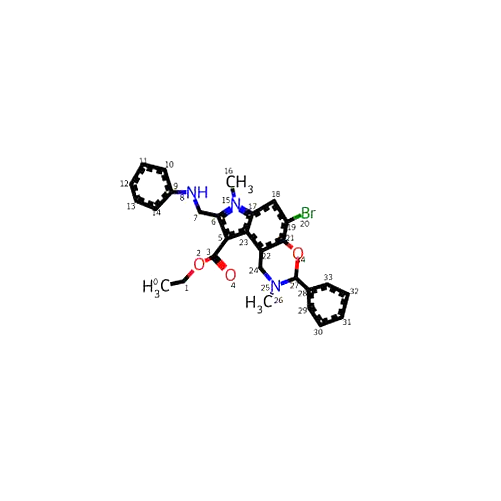 CCOC(=O)c1c(CNc2ccccc2)n(C)c2cc(Br)c3c(c12)CN(C)C(c1ccccc1)O3